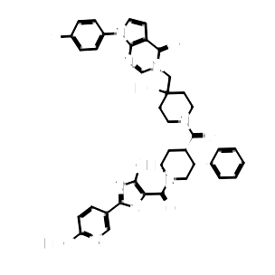 Cc1ccc(-n2ccc3c(=O)n(CC4(O)CCN(C(=O)[C@@H]5CCN(C(=O)c6sc(-c7ccc(C)nc7)nc6C)C[C@H]5c5ccccc5)CC4)cnc32)cc1